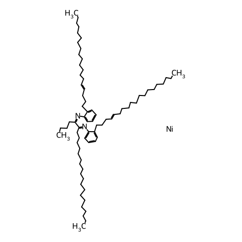 CCCCCCCCCCCCCCC=CCCCc1ccccc1N=C(CCCC)C(CCCCCCCCCCCCCCCCCCC)=Nc1ccccc1CCCC=CCCCCCCCCCCCCCC.[Ni]